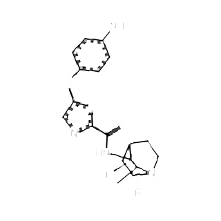 C[C@H]1[C@H](NC(=O)c2ncc(Oc3ccc(N)cc3)s2)C2CCN1CC2